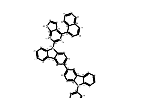 c1ccc(-n2c3ccccc3c3cc(-c4ccc5c(c4)c4ccccc4n5-c4nc(-c5cccc6ccccc56)c5ccsc5n4)ccc32)cc1